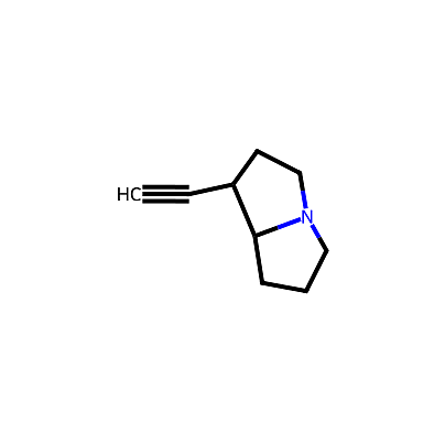 C#CC1CCN2CCCC12